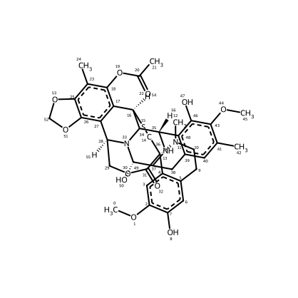 COc1cc2c(cc1O)CCN(C)[C@]21CS[C@@H]2c3c(OC(C)=O)c(C)c4c(c3[C@H](COC1=O)N1C2[C@H]2NC(Cc3cc(C)c(OC)c(O)c32)[C@@H]1O)OCO4